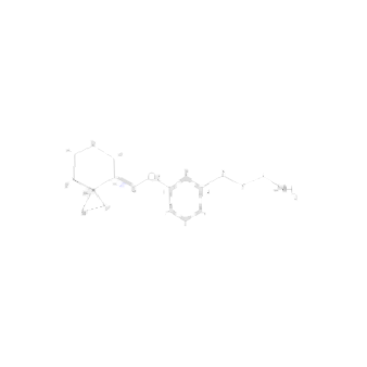 NCCCc1cccc(O/C=C2\CCCCC23CC3)c1